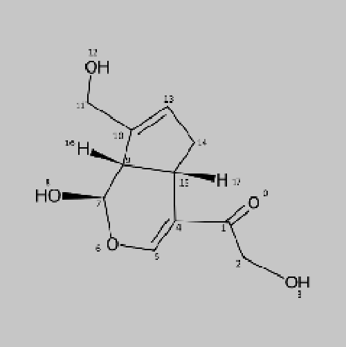 O=C(CO)C1=CO[C@@H](O)[C@@H]2C(CO)=CC[C@H]12